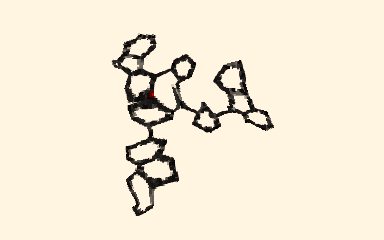 c1cc(-c2ccc3c(ccc4ccccc43)c2)cc(N(c2cccc(-n3c4ccccc4c4ccccc43)c2)c2ccccc2-c2cccc3oc4ccccc4c23)c1